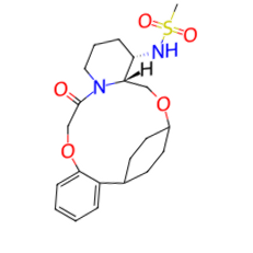 CS(=O)(=O)N[C@H]1CCCN2C(=O)COc3ccccc3C3CCC(CC3)OC[C@@H]12